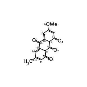 COC1=CC(=O)C2C(=O)C3C(=O)C=C(C)C=C3C(=O)C2=C1